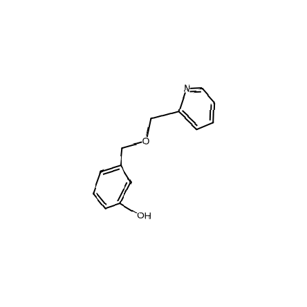 Oc1cccc(COCc2ccccn2)c1